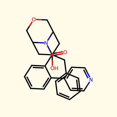 O=C(c1ccccc1-c1ccncc1)N1C2COCC1CC(O)(Cc1ccccc1)C2